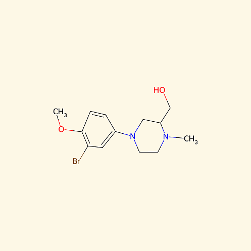 COc1ccc(N2CCN(C)C(CO)C2)cc1Br